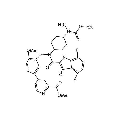 COC(=O)c1cc(-c2ccc(OC)c(CN(C(=O)c3sc4c(F)ccc(F)c4c3Cl)[C@H]3CC[C@H](N(C)C(=O)OC(C)(C)C)CC3)c2)ccn1